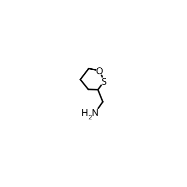 NCC1CCCOS1